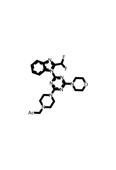 CC(=O)CN1CCN(c2nc(N3CCOCC3)nc(-n3c(C(F)F)nc4ccccc43)n2)CC1